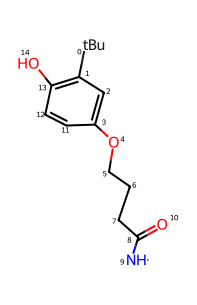 CC(C)(C)c1cc(OCCCC([NH])=O)ccc1O